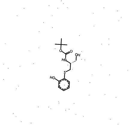 CC(C)(C)OC(=O)N[C@H](CO)CSc1ccccc1O